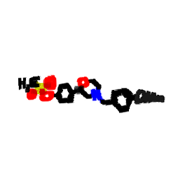 COc1ccc(CN2CCO[C@H](c3ccc(OS(C)(=O)=O)cc3)C2)cc1